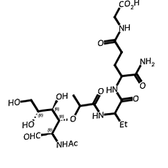 CCC(NC(=O)C(C)O[C@@H]([C@H](O)[C@H](O)CO)[C@H](C=O)NC(C)=O)C(=O)NC(CCC(=O)NCC(=O)O)C(N)=O